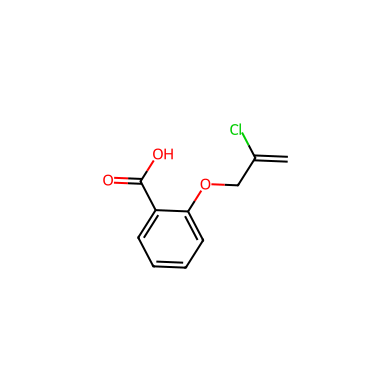 C=C(Cl)COc1ccccc1C(=O)O